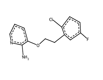 Nc1ncccc1OCCc1cc(F)ccc1Cl